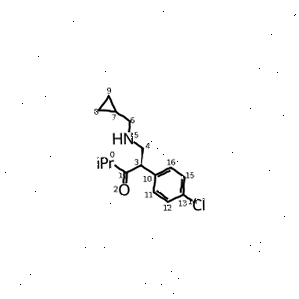 CC(C)C(=O)[C@@H](CNCC1CC1)c1ccc(Cl)cc1